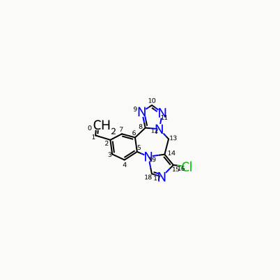 C=Cc1ccc2c(c1)-c1ncnn1Cc1c(Cl)ncn1-2